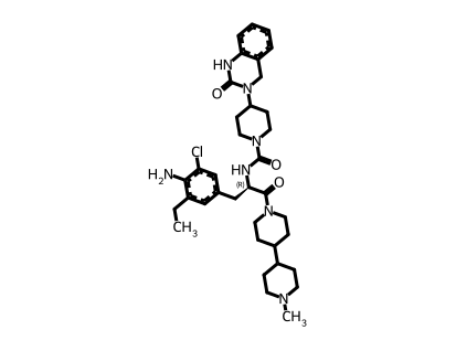 CCc1cc(C[C@@H](NC(=O)N2CCC(N3Cc4ccccc4NC3=O)CC2)C(=O)N2CCC(C3CCN(C)CC3)CC2)cc(Cl)c1N